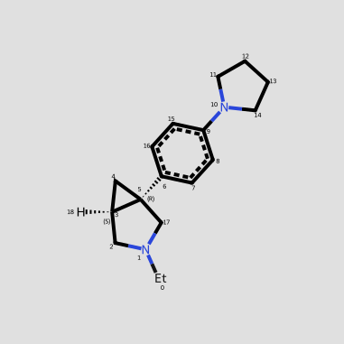 CCN1C[C@H]2C[C@@]2(c2ccc(N3CCCC3)cc2)C1